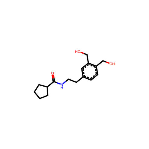 O=C(NCCc1ccc(CO)c(CO)c1)C1CCCC1